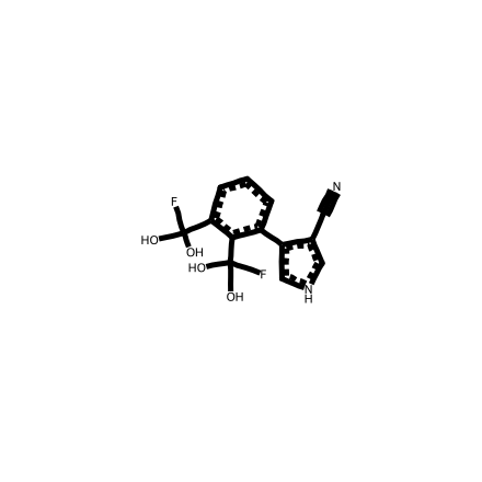 N#Cc1c[nH]cc1-c1cccc(C(O)(O)F)c1C(O)(O)F